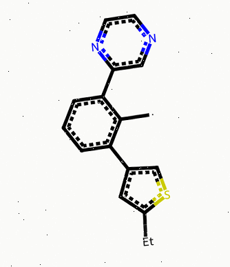 [CH2]c1c(-c2csc(CC)c2)cccc1-c1cnccn1